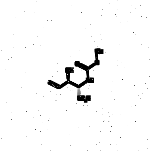 C=C[C@@H](O)[C@H](NC(=O)OC(C)(C)C)C(=O)O